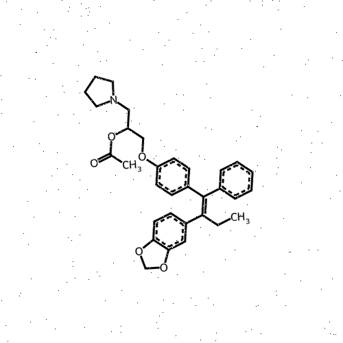 CCC(=C(c1ccccc1)c1ccc(OCC(CN2CCCC2)OC(C)=O)cc1)c1ccc2c(c1)OCO2